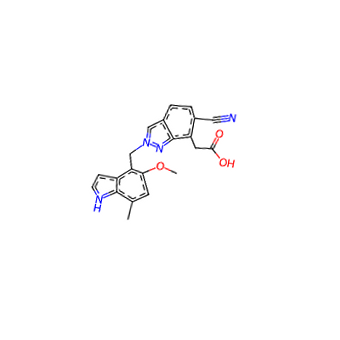 COc1cc(C)c2[nH]ccc2c1Cn1cc2ccc(C#N)c(CC(=O)O)c2n1